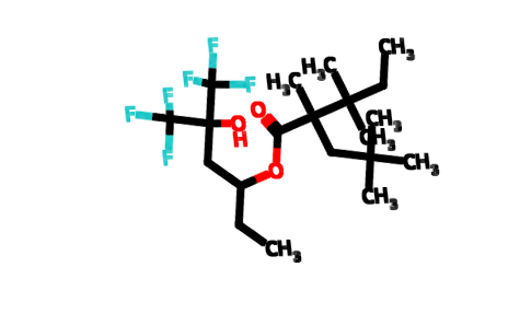 CCC(CC(O)(C(F)(F)F)C(F)(F)F)OC(=O)C(C)(CC(C)(C)C)C(C)(C)CC